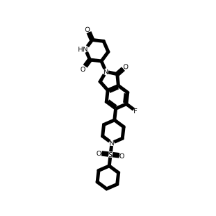 O=C1CCC(N2Cc3cc(C4CCN(S(=O)(=O)C5CCCCC5)CC4)c(F)cc3C2=O)C(=O)N1